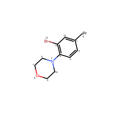 CC(C)c1ccc(N2CCOCC2)c(Br)c1